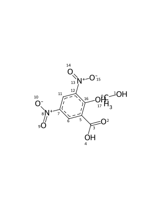 CO.O=C(O)c1cc([N+](=O)[O-])cc([N+](=O)[O-])c1O